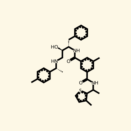 Cc1ccc([C@@H](C)NC[C@@H](O)[C@H](Cc2ccccc2)NC(=O)c2cc(C)cc(C(=O)NC(C)c3sccc3C)c2)cc1